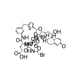 C[C@@H](c1cccc(NC(=O)[C@H](CCC(=O)O)NC(=O)CNC(=O)CBr)c1)c1ccc([C@@H]2O[C@@H]3C[C@H]4[C@@H]5CCC6=CC(=O)C=C[C@]6(C)[C@H]5[C@@H](O)C[C@]4(C)[C@]3(C(=O)COP(=O)(O)O)O2)s1